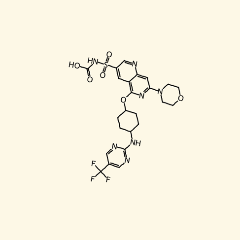 O=C(O)NS(=O)(=O)c1cnc2cc(N3CCOCC3)nc(OC3CCC(Nc4ncc(C(F)(F)F)cn4)CC3)c2c1